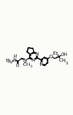 CC[C@](C)(O)COc1ccnc(-c2nc3c(c(N(C)CC(=O)NC(C)(C)C)n2)CCC3)c1